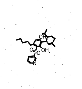 C=C(C)C1CCC(C)=CC1c1c(O)cc(CCCCC)c(S(=O)(=O)c2cccnc2)c1O